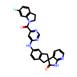 O=C(c1cc(Nc2ccc3c(c2)CC2(C3)C(=O)Nc3ncccc32)ncn1)N1CCc2ccc(F)cc21